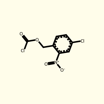 O=C(Cl)OCc1ccc(Cl)cc1[N+](=O)[O-]